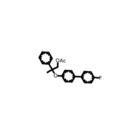 CC(=O)OCC(C)(Oc1ccc(-c2ccc(F)cc2)cc1)c1ccccc1